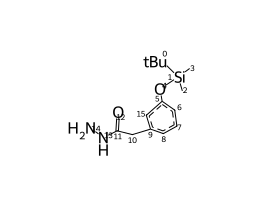 CC(C)(C)[Si](C)(C)Oc1cccc(CC(=O)NN)c1